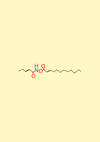 CCC=CC(=O)NOC(=O)C=CCCCCCCCCC